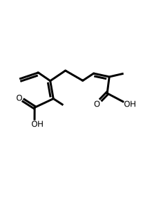 C=CC(CCC=C(C)C(=O)O)=C(C)C(=O)O